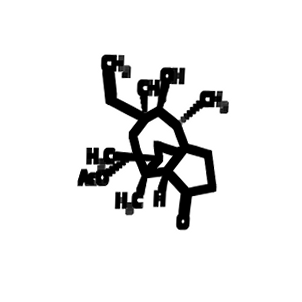 C=C[C@]1(C)C[C@@H](OC(C)=O)[C@]2(C)[C@H](C)CC[C@]3(CCC(=O)[C@@H]32)[C@@H](C)[C@@H]1O